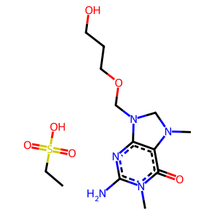 CCS(=O)(=O)O.CN1CN(COCCCO)c2nc(N)n(C)c(=O)c21